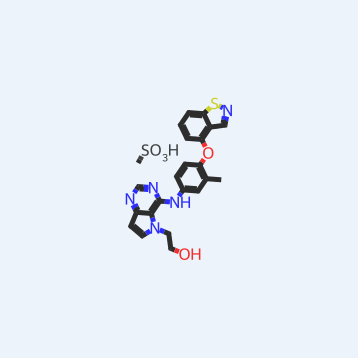 CS(=O)(=O)O.Cc1cc(Nc2ncnc3ccn(CCO)c23)ccc1Oc1cccc2sncc12